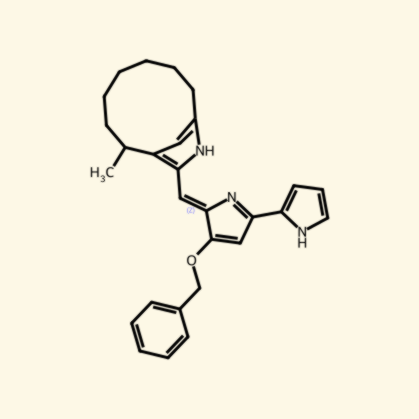 CC1CCCCCCc2cc1c(/C=C1\N=C(c3ccc[nH]3)C=C1OCc1ccccc1)[nH]2